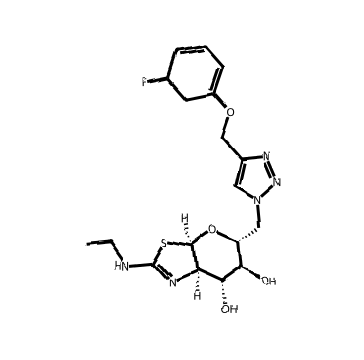 CCNC1=N[C@@H]2[C@@H](O)[C@H](O)[C@@H](Cn3cc(COC4=CC=CC(F)C4)nn3)O[C@@H]2S1